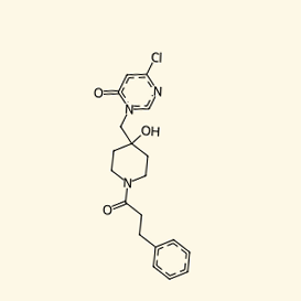 O=C(CCc1ccccc1)N1CCC(O)(Cn2cnc(Cl)cc2=O)CC1